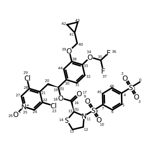 CS(=O)(=O)c1ccc(S(=O)(=O)N2CCS[C@H]2C(=O)O[C@@H](Cc2c(Cl)c[n+]([O-])cc2Cl)c2ccc(OC(F)F)c(OCC3CC3)c2)cc1